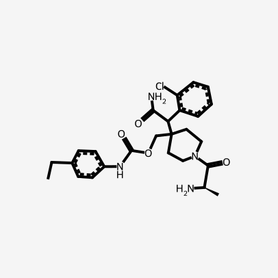 CCc1ccc(NC(=O)OCC2(C(C(N)=O)c3ccccc3Cl)CCN(C(=O)[C@@H](C)N)CC2)cc1